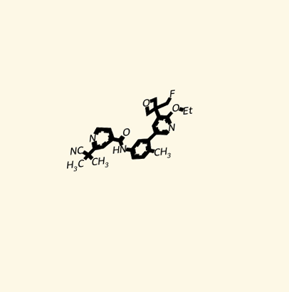 CCOc1ncc(-c2cc(NC(=O)c3ccnc(C(C)(C)C#N)c3)ccc2C)cc1C1(CF)COC1